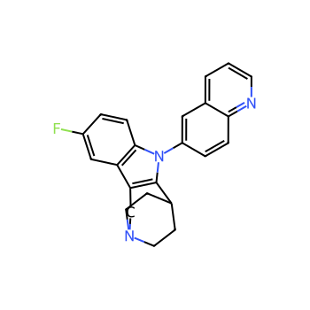 Fc1ccc2c(c1)c1c(n2-c2ccc3ncccc3c2)C2CCN(CC2)C1